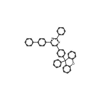 c1ccc(-c2ccc(-c3cc(-c4ccc(C5(c6ccccc6)c6ccccc6Oc6ccccc65)cc4)nc(-c4ccccc4)n3)cc2)cc1